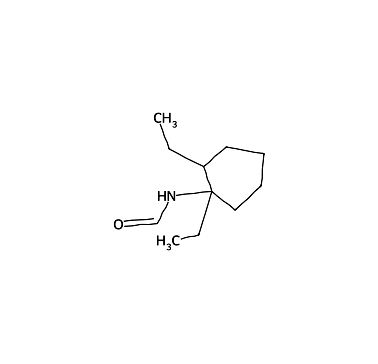 CCC1CCCCC1(CC)NC=O